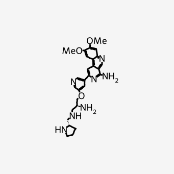 COc1cc2ncc3c(N)nc(-c4cncc(OC[C@@H](N)CNC[C@@H]5CCCN5)c4)cc3c2cc1OC